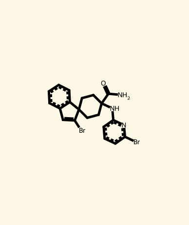 NC(=O)C1(Nc2cccc(Br)n2)CCC2(CC1)C(Br)=Cc1ccccc12